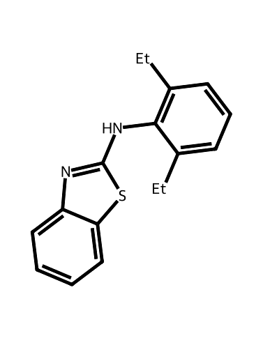 CCc1cccc(CC)c1Nc1nc2ccccc2s1